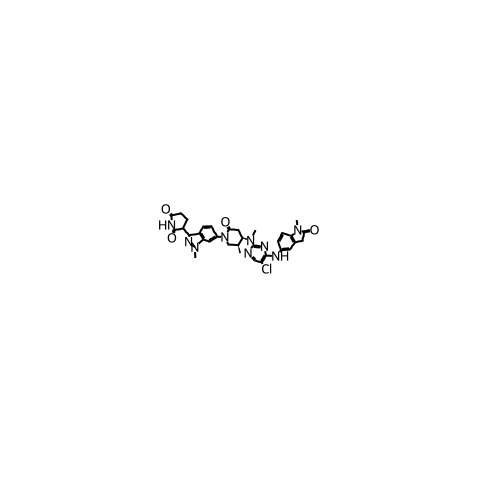 C[C@H]1CN(c2ccc3c(C4CCC(=O)NC4=O)nn(C)c3c2)C(=O)C[C@H]1N(C)c1ncc(Cl)c(Nc2ccc3c(c2)CC(=O)N3C)n1